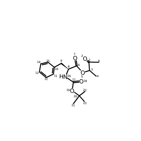 CC(=O)C(C)OC(=O)[C@H](Cc1ccccc1)NC(=O)OC(C)(C)C